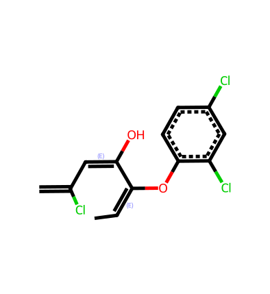 C=C(Cl)/C=C(O)\C(=C/C)Oc1ccc(Cl)cc1Cl